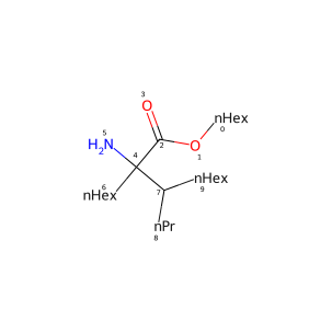 CCCCCCOC(=O)C(N)(CCCCCC)C(CCC)CCCCCC